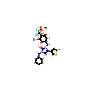 O=c1n(Cc2ccccc2)cc(-c2ccsc2)n1Cc1ccc(C(F)(F)P(=O)(O)O)c(Br)c1